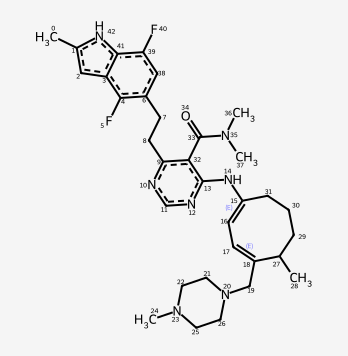 Cc1cc2c(F)c(CCc3ncnc(N/C4=C/C=C(/CN5CCN(C)CC5)C(C)CCC4)c3C(=O)N(C)C)cc(F)c2[nH]1